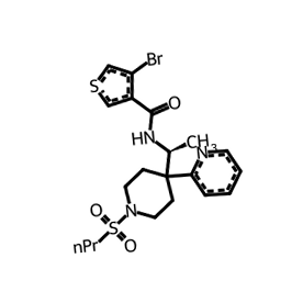 CCCS(=O)(=O)N1CCC(c2ccccn2)([C@H](C)NC(=O)c2cscc2Br)CC1